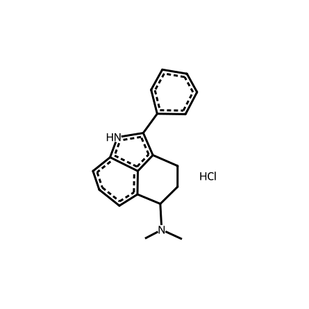 CN(C)C1CCc2c(-c3ccccc3)[nH]c3cccc1c23.Cl